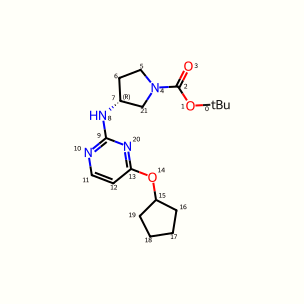 CC(C)(C)OC(=O)N1CC[C@@H](Nc2nccc(OC3CCCC3)n2)C1